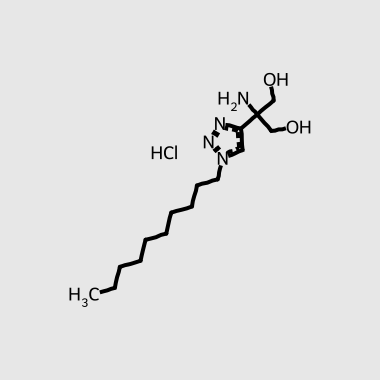 CCCCCCCCCCn1cc(C(N)(CO)CO)nn1.Cl